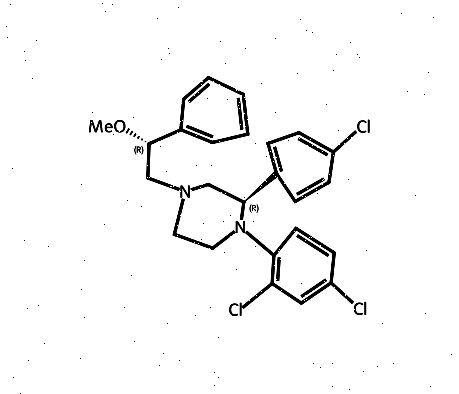 CO[C@@H](CN1CCN(c2ccc(Cl)cc2Cl)[C@H](c2ccc(Cl)cc2)C1)c1ccccc1